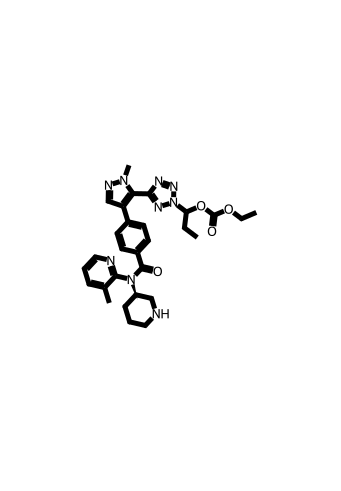 CCOC(=O)OC(CC)n1nnc(-c2c(-c3ccc(C(=O)N(c4ncccc4C)[C@@H]4CCCNC4)cc3)cnn2C)n1